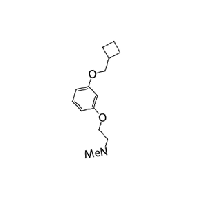 CNCCOc1cccc(OCC2CCC2)c1